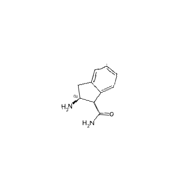 NC(=O)C1c2cc[c]cc2C[C@@H]1N